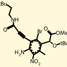 COC(=O)[C@@H](OC(C)(C)C)c1c(C)c([N+](=O)[O-])c(N)c(C#CC(=O)NCCC(C)(C)C)c1Br